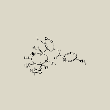 Cc1cnc(C(=O)Nc2ccc(F)c([C@]3(C)CN(C)S(=O)(=O)C(C)(C)C(=N)N3)c2)cn1